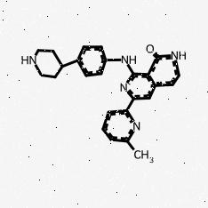 Cc1cccc(-c2cc3cc[nH]c(=O)c3c(Nc3ccc(C4CCNCC4)cc3)n2)n1